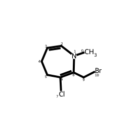 CN1C=CCCC(Cl)=C1CBr